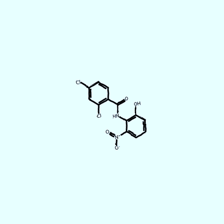 O=C(Nc1c(O)cccc1[N+](=O)[O-])c1ccc(Cl)cc1Cl